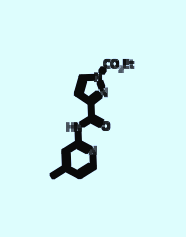 CCOC(=O)n1ccc(C(=O)Nc2cc(C)ccn2)n1